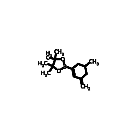 C=C1C=C(B2OC(C)(C)C(C)(C)O2)CC(C)C1